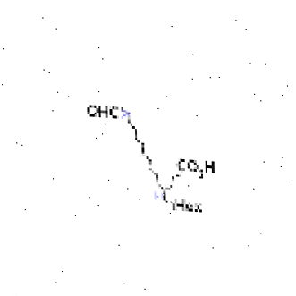 CCCCCC/C=C(/CCCCCCCCC/C=C\C=O)CCCC(=O)O